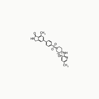 Cc1ccc(N[C@@H]2CCN(S(=O)(=O)c3ccc(-c4cc(C)c5c(c4)CNC5=O)cc3)C[C@@H]2O)nc1